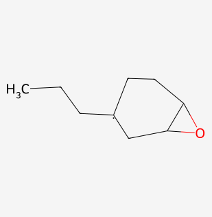 CCC[C]1CCC2OC2C1